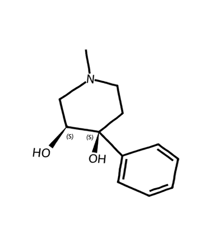 CN1CC[C@](O)(c2ccccc2)[C@@H](O)C1